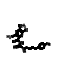 CCc1ccc(CCCCNC(=N)NC(=O)c2nc(Cl)c(N)nc2N)cc1